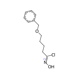 O/N=C(\Cl)CCCCOCc1ccccc1